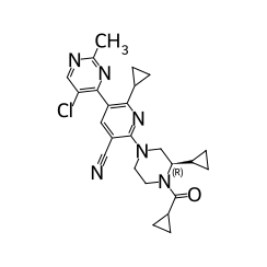 Cc1ncc(Cl)c(-c2cc(C#N)c(N3CCN(C(=O)C4CC4)[C@H](C4CC4)C3)nc2C2CC2)n1